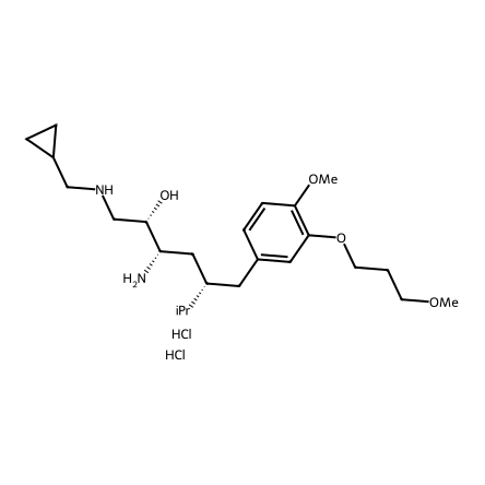 COCCCOc1cc(C[C@@H](C[C@H](N)[C@@H](O)CNCC2CC2)C(C)C)ccc1OC.Cl.Cl